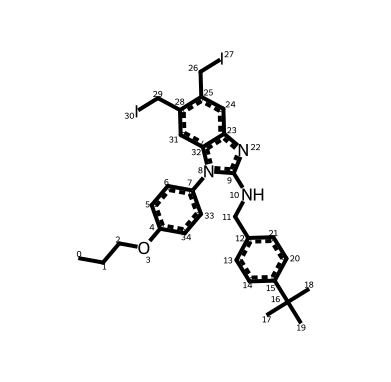 CCCOc1ccc(-n2c(NCc3ccc(C(C)(C)C)cc3)nc3cc(CI)c(CI)cc32)cc1